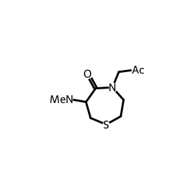 CNC1CSCCN(CC(C)=O)C1=O